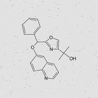 CC(C)(O)c1coc(C(Oc2ccc3ncccc3c2)c2ccccc2)n1